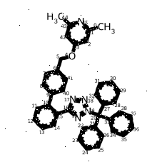 Cc1cc(OCc2ccc(-c3ccccc3-c3nnn(C(c4ccccc4)(c4ccccc4)c4ccccc4)n3)cc2)cc(C)n1